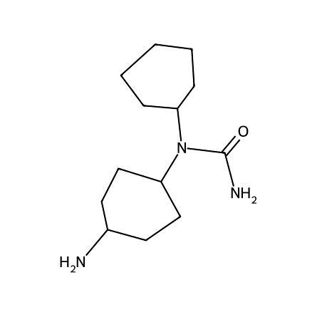 NC(=O)N(C1CCCCC1)C1CCC(N)CC1